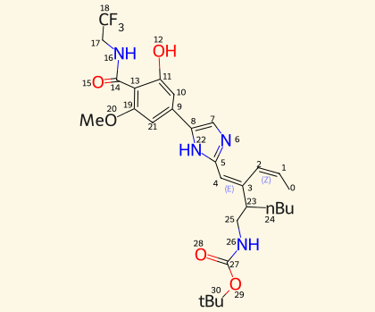 C/C=C\C(=C/c1ncc(-c2cc(O)c(C(=O)NCC(F)(F)F)c(OC)c2)[nH]1)C(CCCC)CNC(=O)OC(C)(C)C